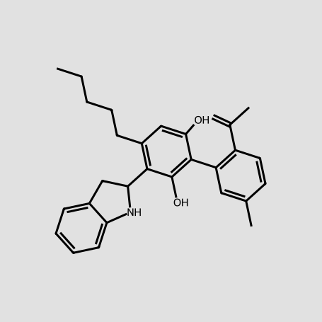 C=C(C)c1ccc(C)cc1-c1c(O)cc(CCCCC)c(C2Cc3ccccc3N2)c1O